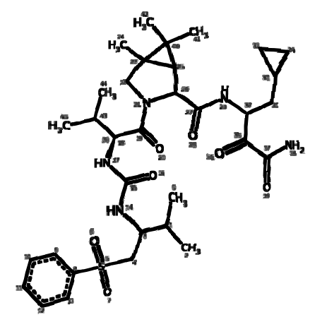 CC(C)C(CS(=O)(=O)c1ccccc1)NC(=O)N[C@H](C(=O)N1CC2(C)C(C1C(=O)NC(CC1CC1)C(=O)C(N)=O)C2(C)C)C(C)C